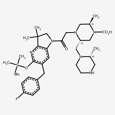 C[C@@H]1CNCCN1C[C@H]1CN(C(=O)O)[C@H](C)CN1CC(=O)N1CC(C)(C)c2nc(O[Si](C)(C)C(C)(C)C)c(Cc3ccc(F)cc3)cc21